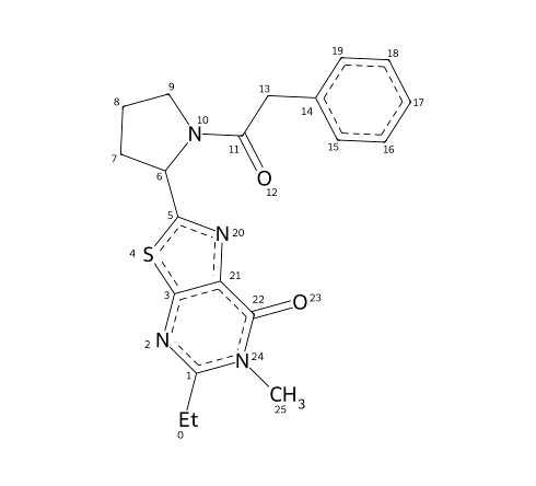 CCc1nc2sc(C3CCCN3C(=O)Cc3ccccc3)nc2c(=O)n1C